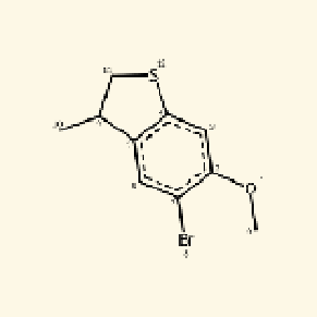 COc1cc2c(cc1Br)C(C)CS2